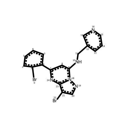 Brc1ccccc1-c1cc(NCc2cccnc2)n2ncc(Br)c2n1